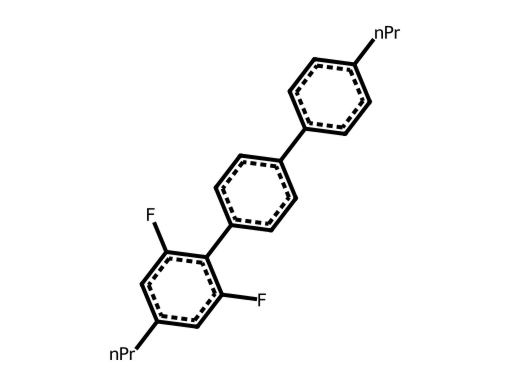 CCCc1ccc(-c2ccc(-c3c(F)cc(CCC)cc3F)cc2)cc1